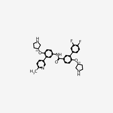 Cc1ccc(-c2cc(NC(=O)c3ccc(O[C@H]4CCNC4)c(-c4ccc(F)c(F)c4)c3)ccc2O[C@H]2CCNC2)cn1